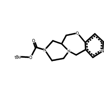 CC(C)(C)OC(=O)N1CCN2Cc3cnccc3OCC2C1